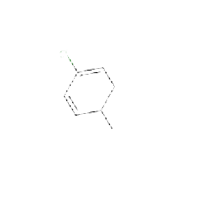 CC1C=CC(Cl)=CC1